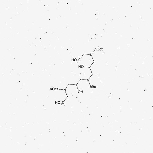 CCCCCCCCN(CC(=O)O)CC(O)CN(CCCC)CC(O)CN(CCCCCCCC)CC(=O)O